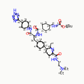 CCN(CC)CCNC(=O)c1ccc(-c2ccc(C[C@H](NC(=O)[C@H]3CC[C@H](CNC(=O)OC(C)(C)C)CC3)C(=O)Nc3ccc(-c4nn[nH]n4)cc3)cc2)c(C)n1